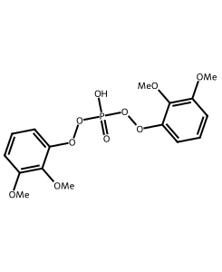 COc1cccc(OOP(=O)(O)OOc2cccc(OC)c2OC)c1OC